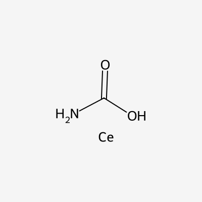 NC(=O)O.[Ce]